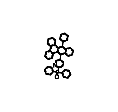 O=P(c1ccccc1)(c1ccccc1)c1ccc(-c2c3ccccc3c(-c3ccccc3)c3c4ccccc4c4ccccc4c23)cn1